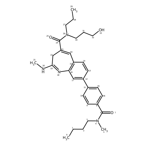 CCCCN(C)C(=O)c1ccc(-c2ccc3c(c2)N=C(NC)CC(C(=O)N(CCC)CCCO)=C3)cc1